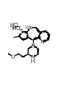 COCCC1CN(C2=c3ncccc3=CNc3sc(C)cc32)CCN1.Cl.Cl